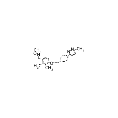 CON=Cc1ccc(OCCC2CCN(c3ccc(C)nn3)CC2)c(C)c1C